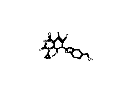 COC1c2c(c(=O)[nH]c(=O)n2C2CC2)C(C)=C(F)C1c1cc2c(s1)CCC(CO)C2